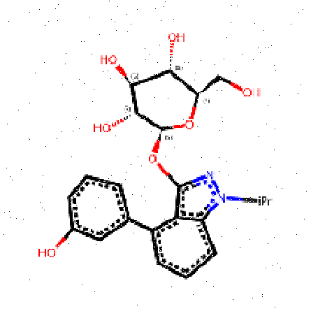 CC(C)n1nc(O[C@@H]2O[C@H](CO)[C@@H](O)[C@H](O)[C@H]2O)c2c(-c3cccc(O)c3)cccc21